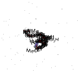 CNN(C)Cc1cc2cccnc2n1CCC(=O)N1CCC(NCCOCCOCCC(=O)N[C@H](C(=O)N[C@@H](C)C(=O)Nc2ccc(COC(=O)N(C)CCCC(=O)N(C)[C@@H](C)C(=O)O[C@H]3CC(=O)N(C)c4cc(cc(OC)c4Cl)C/C(C)=C/C=C/[C@@H](O)[C@@]4(O)C[C@H](OC(=O)N4)[C@@H](C)C4O[C@]43C)cc2O[C@@H]2O[C@H](C(=O)O)[C@@H](O)[C@H](O)[C@H]2O)C(C)C)CC1